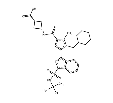 Cc1c(C(=O)N[C@H]2C[C@H](C(=O)O)C2)cc(-c2sc(S(=O)(=O)NC(C)(C)C)c3ccccc23)n1CC1CCCCC1